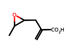 C=C(CC1OC1C)C(=O)O